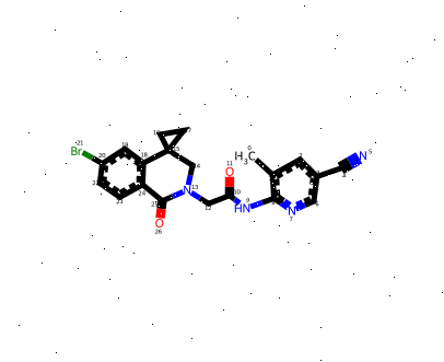 Cc1cc(C#N)cnc1NC(=O)CN1CC2(CC2)c2cc(Br)ccc2C1=O